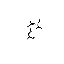 CC(=O)O.CCOC(C)=O.COCC(C)O